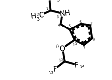 CC(C)NCc1ccccc1OC(F)F